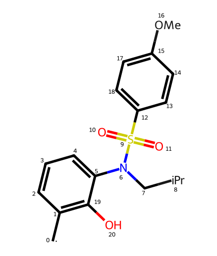 [CH2]c1cccc(N(CC(C)C)S(=O)(=O)c2ccc(OC)cc2)c1O